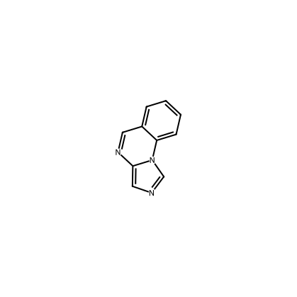 c1ccc2c(c1)cnc1cncn12